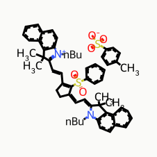 CCCCN1/C(=C\C=C2\CCC(/C=C/C3=[N+](CCCC)c4ccc5ccccc5c4C3(C)C)=C2S(=O)(=O)c2ccccc2)C(C)(C)c2c1ccc1ccccc21.Cc1ccc(S(=O)(=O)[O-])cc1